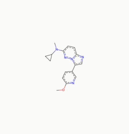 COc1ccc(-c2cnc3ccc(N(C)C4CC4)nn23)cn1